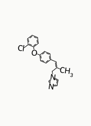 CC(=Cc1ccc(Oc2ccccc2Cl)cc1)Cn1ccnc1